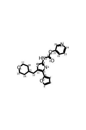 O=C(Nc1nc(-c2ccco2)c(CC2CCOCC2)s1)Oc1cccnc1